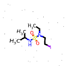 CCN(CCI)S(=O)(=O)NC(C)C